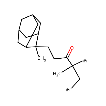 CC(C)CC(C)(C(=O)CCC1(C)C2CC3CC(C2)CC1C3)C(C)C